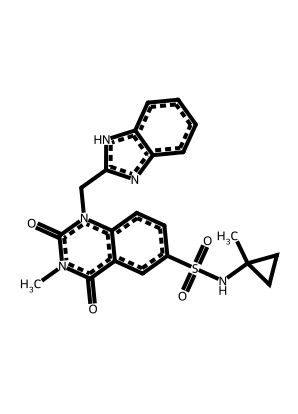 Cn1c(=O)c2cc(S(=O)(=O)NC3(C)CC3)ccc2n(Cc2nc3ccccc3[nH]2)c1=O